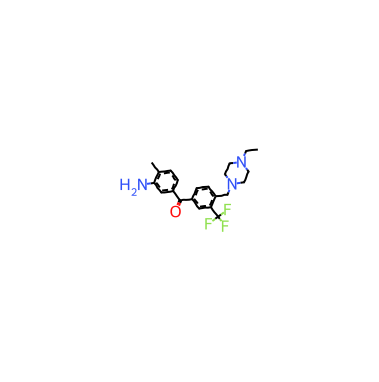 CCN1CCN(Cc2ccc(C(=O)c3ccc(C)c(N)c3)cc2C(F)(F)F)CC1